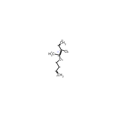 C=CCCO/C(C)=C(\Cl)C=C